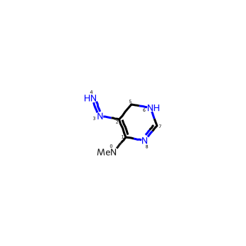 CNC1=C(N=N)CNC=N1